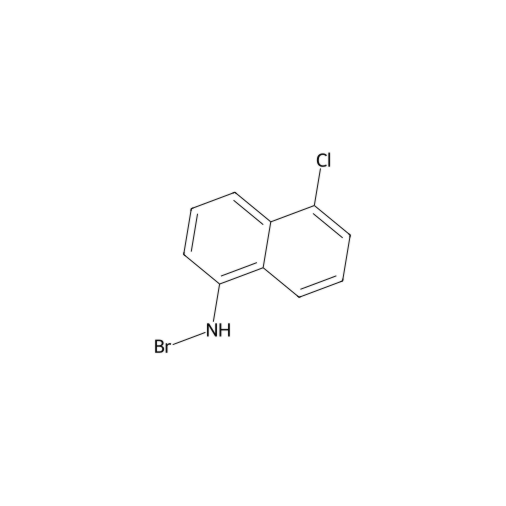 Clc1cccc2c(NBr)cccc12